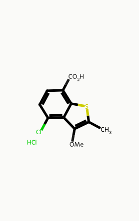 COc1c(C)sc2c(C(=O)O)ccc(Cl)c12.Cl